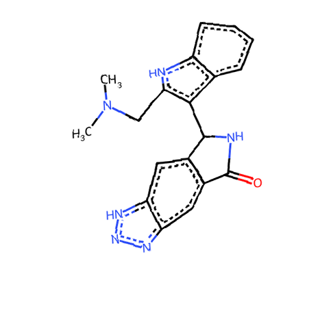 CN(C)Cc1[nH]c2ccccc2c1C1NC(=O)c2cc3nn[nH]c3cc21